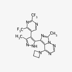 Cc1n[nH]c(-c2nc(C)n3ncnc(N4CCC4)c23)c1-c1cnc(C(F)(F)F)nc1C(F)(F)F